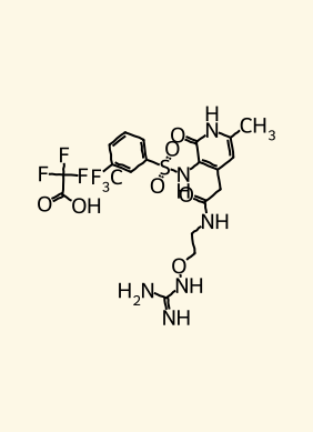 Cc1cc(CC(=O)NCCONC(=N)N)c(NS(=O)(=O)c2cccc(C(F)(F)F)c2)c(=O)[nH]1.O=C(O)C(F)(F)F